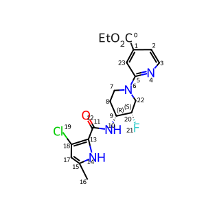 CCOC(=O)c1ccnc(N2CC[C@@H](NC(=O)c3[nH]c(C)cc3Cl)[C@@H](F)C2)c1